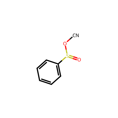 N#COS(=O)c1ccccc1